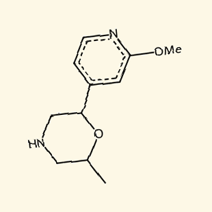 COc1cc(C2CNCC(C)O2)ccn1